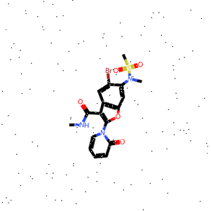 CNC(=O)c1c(-n2ccccc2=O)oc2cc(N(C)S(C)(=O)=O)c(Br)cc12